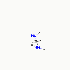 C=C[Si](C)(NC)NC